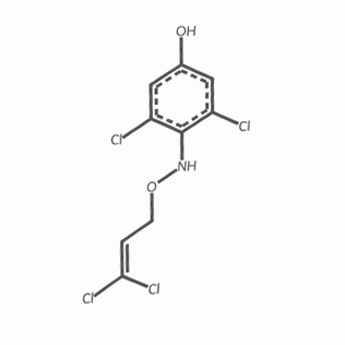 Oc1cc(Cl)c(NOCC=C(Cl)Cl)c(Cl)c1